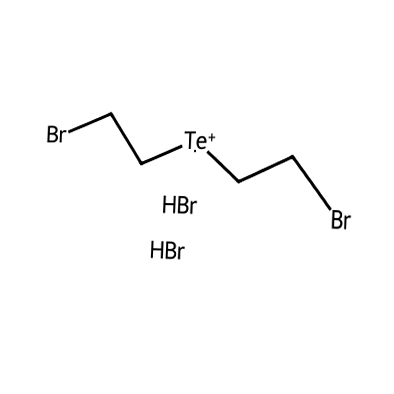 Br.Br.BrCC[Te+]CCBr